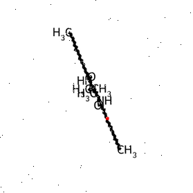 CCCCCCCCCCCCCCCCCCCCCC(=O)NCCCCC(C)(C)N(CC)CCCNC(=O)CCCCCCCCCCCCCCCCCCCCC